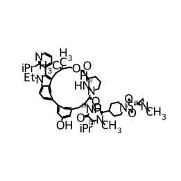 CCn1c(-c2cccnc2C(C)C)c2c3cc(ccc31)-c1cc(O)cc(c1)C[C@H](NC(=O)[C@H](C(C)C)N(C)C(=O)C1CCN(S(=O)(=O)[C@@H]3CN3C)CC1)C(=O)N1CCC[C@H](N1)C(=O)OCC(C)(C)C2